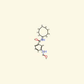 O=CNc1cccc(C(=O)NC2CCCCCCCC2)c1